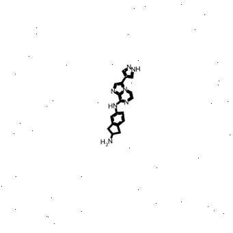 NC1Cc2ccc(Nc3nccn4c(-c5cn[nH]c5)cnc34)cc2C1